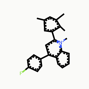 Cc1cc(C)c(C)c(-c2cc(-c3ccc(F)cc3)c3ccccc3[n+]2C)c1